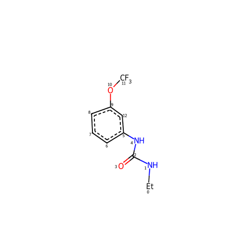 CCNC(=O)Nc1cccc(OC(F)(F)F)c1